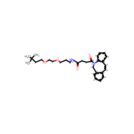 CC(C)(C)CCOCCOCCCNC(=O)CCC(=O)N1Cc2ccccc2/C=C\c2ccccc21